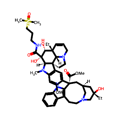 CC[C@]1(O)C[C@H]2CN(CCc3c([nH]c4ccccc34)[C@@](C(=O)OC)(c3cc4c(cc3OC)N(C)[C@H]3[C@@](O)(C(=O)NCCC[SH](C)(C)=O)[C@H](O)[C@]5(CC)C=CCN6CC[C@]43[C@@H]65)C2)C1